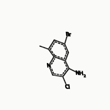 Cc1cc(Br)cc2c(N)c(Cl)cnc12